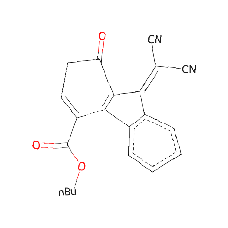 CCCCOC(=O)C1=CCC(=O)C2=C1c1ccccc1C2=C(C#N)C#N